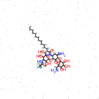 CCCCCCCCCCCCCCC(=O)NC1CC(N)C(OC2OC(CN)C(O)C(O)C2O)C(O)C1OC1OC(CO)C(O)C(NC(=O)C(F)(F)F)C1O